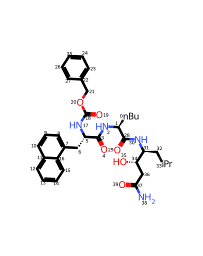 CCCC[C@H](NC(=O)[C@H](Cc1cccc2ccccc12)NC(=O)OCc1ccccc1)C(=O)N[C@@H](CC(C)C)[C@@H](O)CC(N)=O